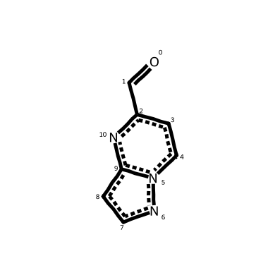 O=Cc1c[c]n2nccc2n1